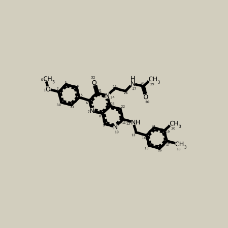 COc1ccc(-c2nc3cnc(NCc4ccc(C)c(C)c4)cc3n(CCNC(C)=O)c2=O)cc1